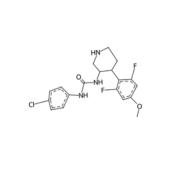 COc1cc(F)c(C2CCNCC2NC(=O)Nc2ccc(Cl)cc2)c(F)c1